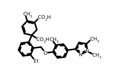 CCc1cccc(C2(C(=O)O)C=CC(C)=C(C(=O)O)C2)c1COc1ccc(-c2cc(C)n(C)n2)cc1C